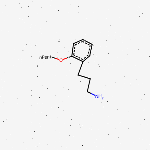 CCCCCOc1ccccc1CCCN